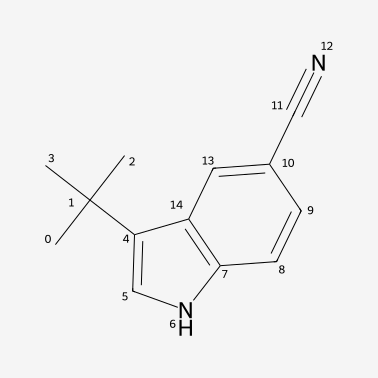 CC(C)(C)c1c[nH]c2ccc(C#N)cc12